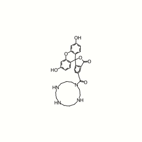 O=C1OC2(c3ccc(O)cc3Oc3cc(O)ccc32)c2ccc(C(=O)N3CCCNCCNCCCNCC3)cc21